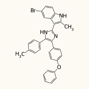 Cc1ccc(-c2[nH]c(-c3c(C)[nH]c4ccc(Br)cc34)nc2-c2ccc(Oc3ccccc3)cc2)cc1